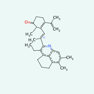 C=C(C)C1=C(/C=C(\C)c2nc3cc(C)c(C)c4c3c(c2CC)CCC4)C(C)C(=O)CC1